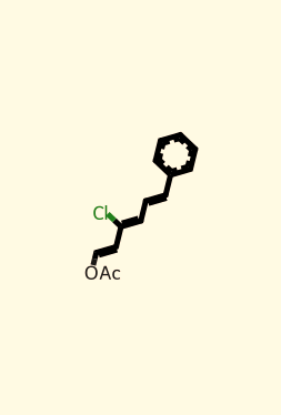 CC(=O)OC=CC(Cl)=CC=Cc1ccccc1